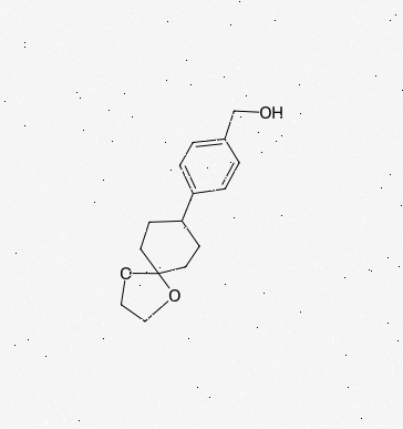 OCc1ccc(C2CCC3(CC2)OCCO3)cc1